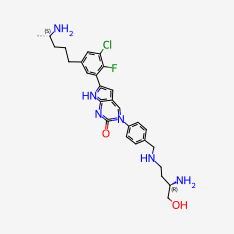 C[C@H](N)CCCc1cc(Cl)c(F)c(-c2cc3cn(-c4ccc(CNCC[C@@H](N)CO)cc4)c(=O)nc3[nH]2)c1